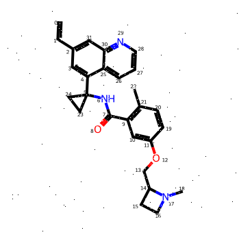 C=Cc1cc(C2(NC(=O)c3cc(OCC4CCN4C)ccc3C)CC2)c2cccnc2c1